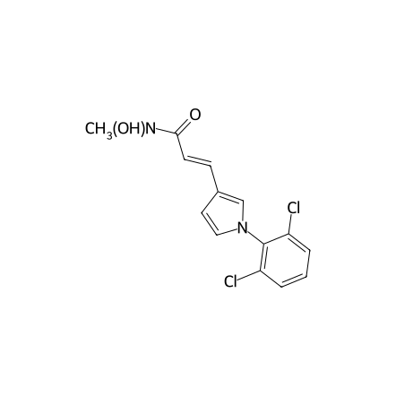 CN(O)C(=O)/C=C/c1ccn(-c2c(Cl)cccc2Cl)c1